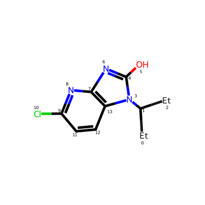 CCC(CC)n1c(O)nc2nc(Cl)ccc21